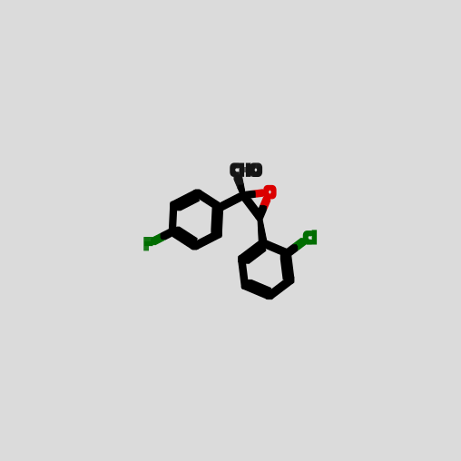 O=C[C@@]1(c2ccc(F)cc2)O[C@H]1c1ccccc1Cl